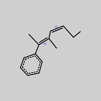 CC/C=C\C(C)=C(/C)c1ccccc1